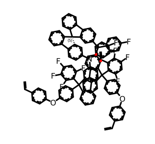 C=Cc1ccc(Oc2ccc(C3(c4c(F)cc(F)c(F)c4F)c4ccccc4-c4ccc(N(c5ccc(F)cc5)c5ccc6c(c5)[C@@]5(c7ccccc7-c7ccc(C(c8ccc(F)cc8)c8ccc9c(c8)C(c8ccc(Oc%10ccc(C=C)cc%10)cc8)(c8c(F)cc(F)c(F)c8C=C)c8ccccc8-9)cc75)c5ccccc5-6)cc43)cc2)cc1